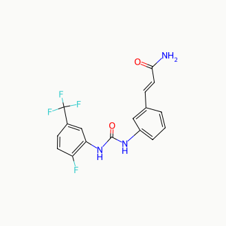 NC(=O)C=Cc1cccc(NC(=O)Nc2cc(C(F)(F)F)ccc2F)c1